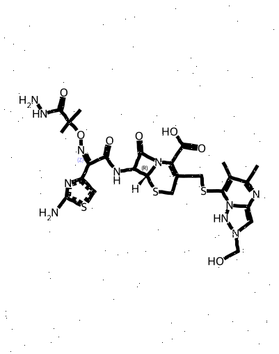 CC1=NC2=CN(CO)NN2C(SCC2=C(C(=O)O)N3C(=O)C(NC(=O)/C(=N\OC(C)(C)C(=O)NN)c4csc(N)n4)[C@H]3SC2)=C1C